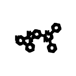 c1ccc(-c2cc(-c3ccccc3)nc(-c3ccc4nc5c6cnccc6c6ccccc6n5c4c3)n2)cc1